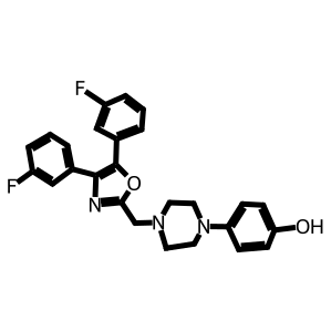 Oc1ccc(N2CCN(Cc3nc(-c4cccc(F)c4)c(-c4cccc(F)c4)o3)CC2)cc1